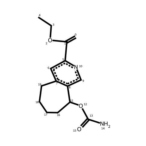 C=C(OCC)c1cc2c(cn1)C(OC(N)=O)CCCC2